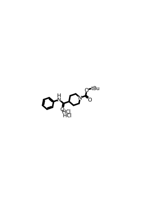 CC(C)(C)OC(=O)N1CCC(C(=O)Nc2ccccc2)CC1.Cl.Cl